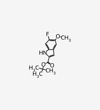 COc1cc2cc(C(=O)OC(C)(C)C)[nH]c2cc1F